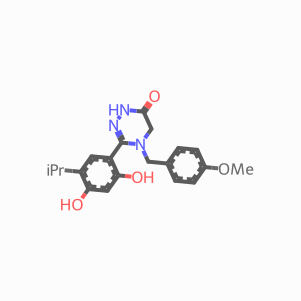 COc1ccc(CN2CC(=O)NN=C2c2cc(C(C)C)c(O)cc2O)cc1